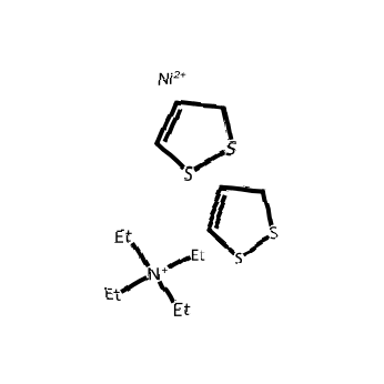 C1=CSSC1.C1=CSSC1.CC[N+](CC)(CC)CC.[Ni+2]